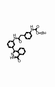 CC(C)(C)OC(=O)Nc1cccc(CC(=O)Nc2cccc(-c3n[nH]c(=O)c4ccccc34)c2)c1